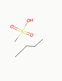 CCCC.CS(=O)(=O)O